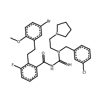 COc1ccc(Br)cc1CCc1c(F)cccc1C(=O)NC(=N)N(CCN1CCCC1)Cc1cccc(Cl)c1